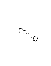 Brc1cc(Br)c2nc(SCc3ccccc3)nn2c1